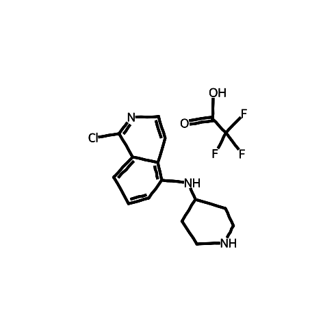 Clc1nccc2c(NC3CCNCC3)cccc12.O=C(O)C(F)(F)F